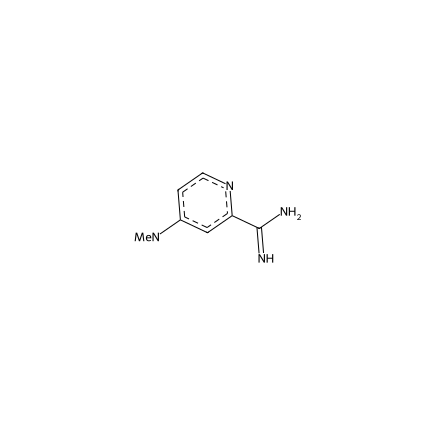 CNc1ccnc(C(=N)N)c1